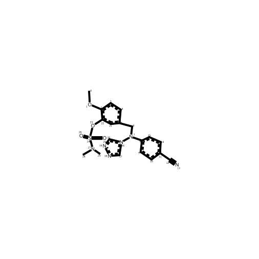 COc1ccc(CN(c2ccc(C#N)cc2)n2cnnc2)cc1OS(=O)(=O)N(C)C